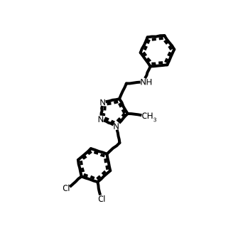 Cc1c(CNc2ccccc2)nnn1Cc1ccc(Cl)c(Cl)c1